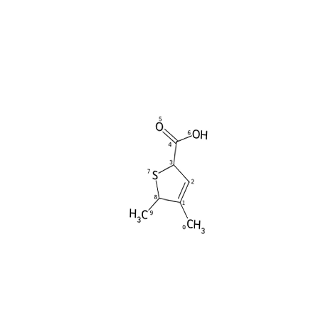 CC1=CC(C(=O)O)SC1C